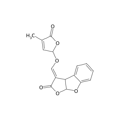 CC1=CC(O/C=C2/C(=O)OC3Oc4ccccc4C23)OC1=O